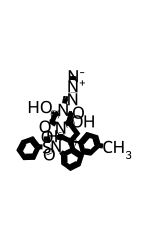 Cc1ccc([C@]23C[C@@]4(O)C(=O)N(CN=[N+]=[N-])[C@H](O)C(=O)N4[C@H]2N(S(=O)(=O)c2ccccc2)c2ccccc23)cc1